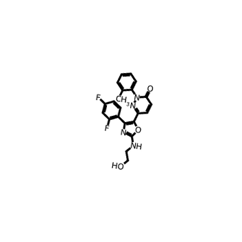 Cc1ccccc1-n1nc(-c2oc(NCCO)nc2-c2ccc(F)cc2F)ccc1=O